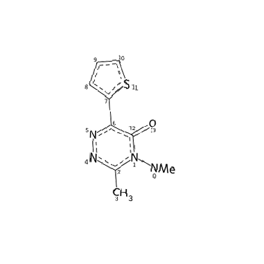 CNn1c(C)nnc(-c2cccs2)c1=O